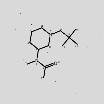 CC(=O)N(C)C1CCCN(CC(C)(C)C)C1